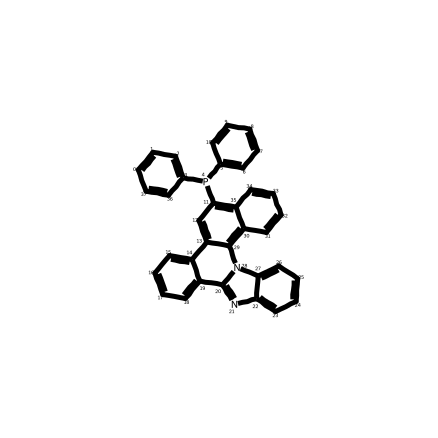 c1ccc(P(c2ccccc2)c2cc3c4ccccc4c4nc5ccccc5n4c3c3ccccc23)cc1